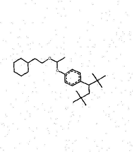 CC(OCCC1CCCCC1)Oc1ccc(C(CC(C)(C)C)C(C)(C)C)cc1